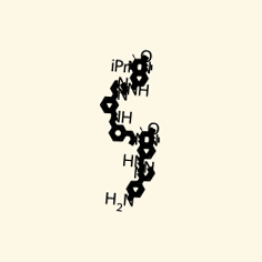 CC(C)N1c2cc(Nc3nccc(-c4cccc(NCC5CCCC(CC(C)N6c7cc(Nc8nccc(-c9ccc(N)cc9)n8)ccc7N(C)C(=O)[C@H]6C)C5)c4)n3)ccc2N(C)C(=O)[C@H]1C